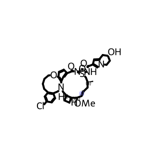 CO[C@H]1/C=C/C[C@H](C)CS(=O)(NC(=O)c2cc3n(c2)CCC(O)C3)=NC(=O)c2ccc3c(c2)N(Cc2ccc(Cl)cc2CCCCO3)C[C@@H]2CC[C@H]21